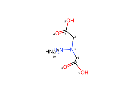 NN(CC(=O)O)CC(=O)O.[NaH]